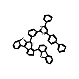 c1ccc(-c2ccc(-c3cc(-c4ccccc4)nc(-c4cccc(-c5nc6c(-c7cccc8c7sc7ccccc78)cccc6c6c5sc5ccccc56)c4)n3)cc2)cc1